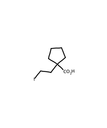 O=C(O)C1(CCI)CCCC1